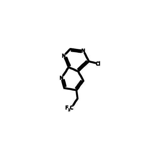 FC(F)(F)Cc1cnc2ncnc(Cl)c2c1